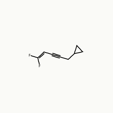 FC(F)=CC#CCC1[CH]C1